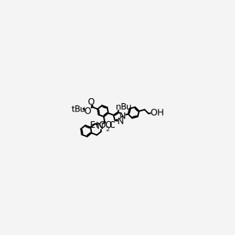 CCCCc1c(-c2ccc(C(=O)OC(C)(C)C)cc2C(=O)N2CCc3ccccc3C2)c(C(=O)OCC)nn1-c1ccc(CCO)cc1